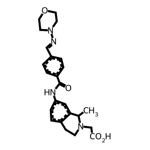 CC1c2cc(NC(=O)c3ccc(C=NN4CCOCC4)cc3)ccc2CCN1CC(=O)O